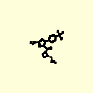 Cc1nc(C(=O)N2CC[C@H]2CN)c(-c2ccc(C(F)(F)F)cc2)s1